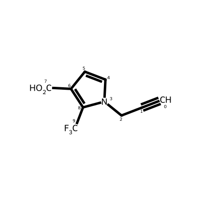 C#CCn1ccc(C(=O)O)c1C(F)(F)F